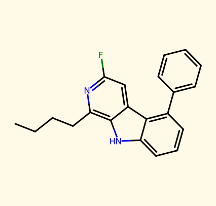 CCCCc1nc(F)cc2c1[nH]c1cccc(-c3ccccc3)c12